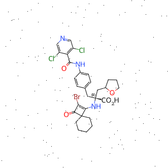 O=C(Nc1ccc(C[C@](CC2CCCO2)(NC2=C(Br)C(=O)C23CCCCC3)C(=O)O)cc1)c1c(Cl)cncc1Cl